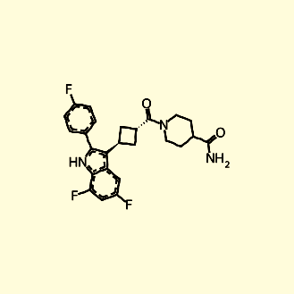 NC(=O)C1CCN(C(=O)[C@H]2C[C@H](c3c(-c4ccc(F)cc4)[nH]c4c(F)cc(F)cc43)C2)CC1